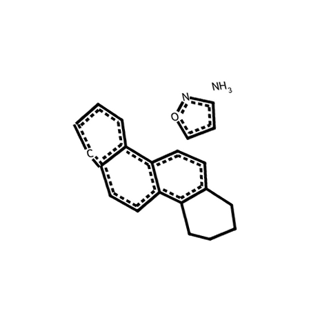 N.c1ccc2c(c1)ccc1c3c(ccc12)CCCC3.c1cnoc1